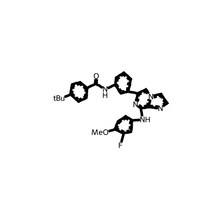 COc1ccc(Nc2nc(-c3cccc(NC(=O)c4ccc(C(C)(C)C)cc4)c3)cn3ccnc23)cc1F